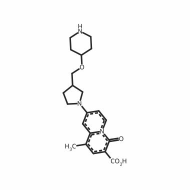 Cc1cc(C(=O)O)c(=O)n2ccc(N3CCC(COC4CCNCC4)C3)cc12